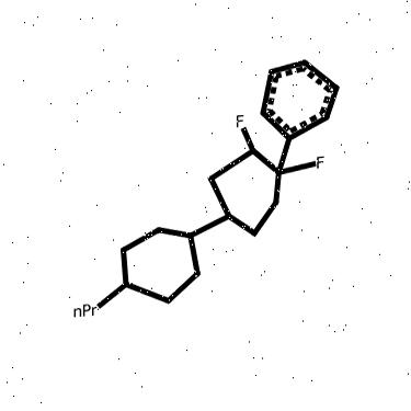 CCCC1CCC(C2CCC(F)(c3ccccc3)C(F)C2)CC1